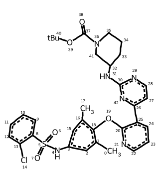 Cc1cc(NS(=O)(=O)c2ccccc2Cl)cc(C)c1Oc1ncccc1-c1ccnc(NC2CCCN(C(=O)OC(C)(C)C)C2)n1